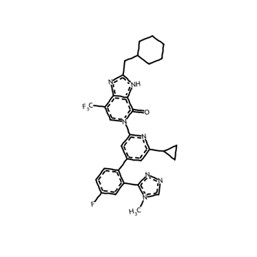 Cn1cnnc1-c1cc(F)ccc1-c1cc(C2CC2)nc(-n2cc(C(F)(F)F)c3nc(CC4CCCCC4)[nH]c3c2=O)c1